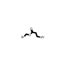 CCCCCC(=O)OCBr